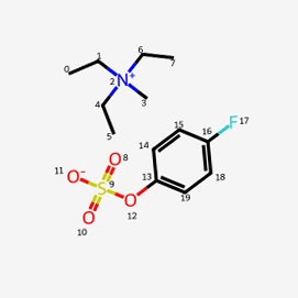 CC[N+](C)(CC)CC.O=S(=O)([O-])Oc1ccc(F)cc1